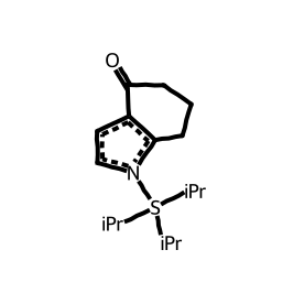 CC(C)S(C(C)C)(C(C)C)n1ccc2c1CCCC2=O